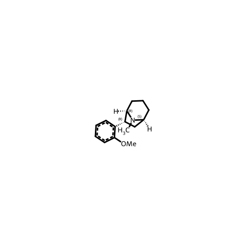 COc1ccccc1[C@H]1C[C@@H]2CCC[C@H]1N2C